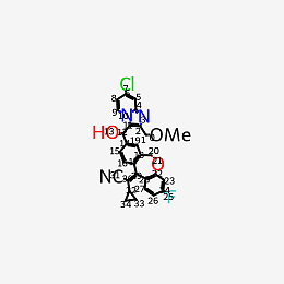 COCc1nc2cc(Cl)ccn2c1C(O)c1ccc2c(c1)COc1cc(F)ccc1C2=C(C#N)C1CC1